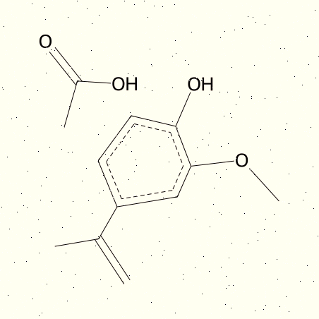 C=C(C)c1ccc(O)c(OC)c1.CC(=O)O